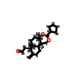 C=C1CCC2[C@]3(C)COC(C4CCCC4)O[C@@H]3CC[C@@]2(C)[C@@H]1CC=O